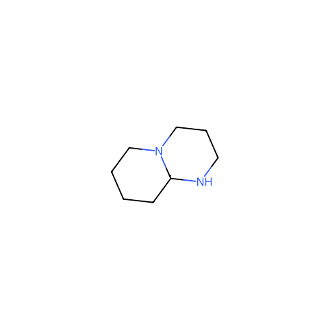 C1CCN2CCCN[C]2C1